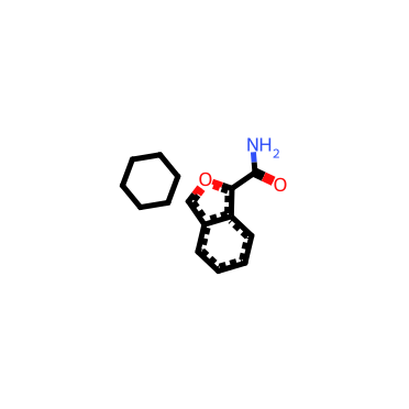 C1CCCCC1.NC(=O)c1occ2ccccc12